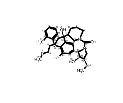 CN[C@@H]1CN(C(=O)N2CCCC([C@@](O)(CCCCOC)c3cccc(F)c3Oc3ccccc3C)C2)C[C@@H]1O